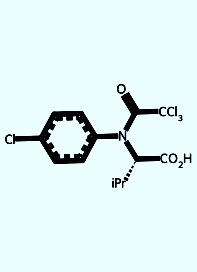 CC(C)[C@@H](C(=O)O)N(C(=O)C(Cl)(Cl)Cl)c1ccc(Cl)cc1